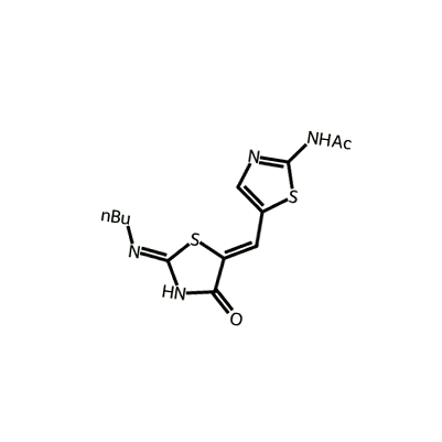 CCCCN=C1NC(=O)C(=Cc2cnc(NC(C)=O)s2)S1